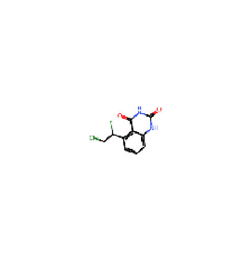 O=c1[nH]c(=O)c2c(C(Cl)CCl)cccc2[nH]1